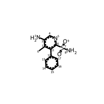 Cc1c(N)cnc(S(N)(=O)=O)c1-c1ccccc1